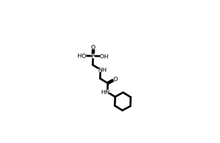 O=C(CNCP(=O)(O)O)NC1CCCCC1